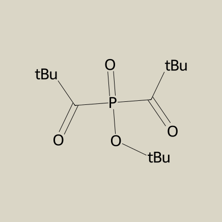 CC(C)(C)OP(=O)(C(=O)C(C)(C)C)C(=O)C(C)(C)C